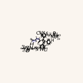 C=C(/C=C\C=C/C)[C@H]1[C@@H](c2cc(SCCNC(=O)OC(C)(C)C)nc(Cl)n2)[C@H](c2ccccc2)[C@@H]1c1cc(SCCNC(=O)OC(C)(C)C)nc(Cl)n1